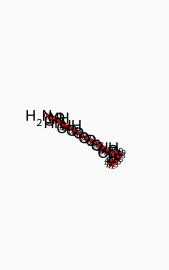 NCC(=O)NCC(=O)NCC(=O)NCCOCCOCCOCCOCCOCCNC(=O)CCC(=O)N1Cc2ccccc2C#Cc2ccccc21